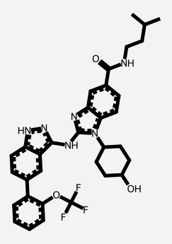 CC(C)CCNC(=O)c1ccc2c(c1)nc(Nc1n[nH]c3ccc(-c4ccccc4OC(F)(F)F)cc13)n2C1CCC(O)CC1